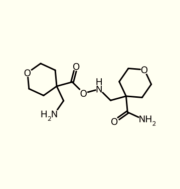 NCC1(C(=O)ONCC2(C(N)=O)CCOCC2)CCOCC1